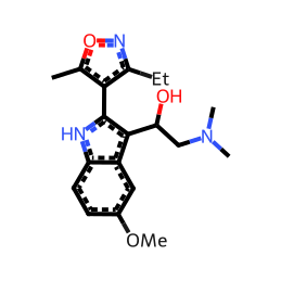 CCc1noc(C)c1-c1[nH]c2ccc(OC)cc2c1C(O)CN(C)C